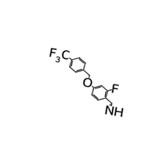 N=Cc1ccc(OCc2ccc(C(F)(F)F)cc2)cc1F